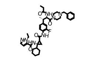 CCC(=O)N[C@@H](C(=O)N1CCN(Cc2ccccc2)CC1)[C@@H](C)c1ccc(NC(=O)C2C[C@@]2(NC(=O)c2ccnn2CC)C2CCCCC2)c(F)c1